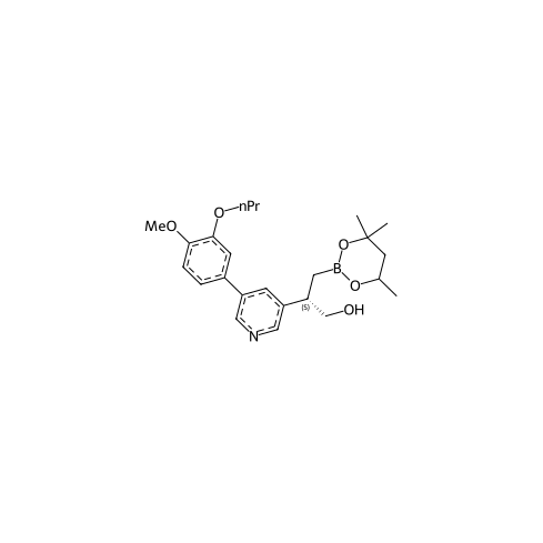 CCCOc1cc(-c2cncc([C@@H](CO)CB3OC(C)CC(C)(C)O3)c2)ccc1OC